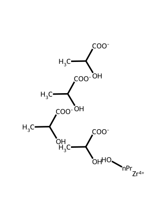 CC(O)C(=O)[O-].CC(O)C(=O)[O-].CC(O)C(=O)[O-].CC(O)C(=O)[O-].CCCO.[Zr+4]